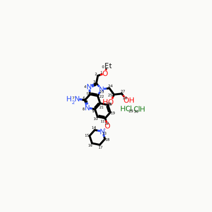 CCOCc1nc2c(N)nc3cc(ON4CCCCC4)ccc3c2n1CC(O)CO.Cl.Cl